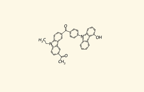 CCn1c2ccc(C(C)=O)cc2c2cc(C(=O)c3ccc(-n4c5ccccc5c5c(O)cccc54)cc3)ccc21